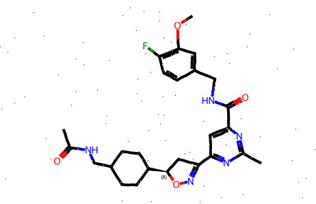 COc1cc(CNC(=O)c2cc(C3=NO[C@@H](C4CCC(CNC(C)=O)CC4)C3)nc(C)n2)ccc1F